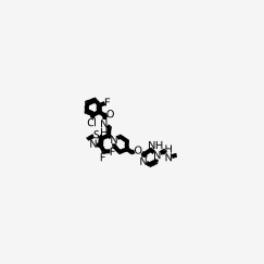 CNCn1ccnc(OCC2CCN(C(CNC(=O)c3c(F)cccc3Cl)c3scnc3C(F)F)CC2)c1=N